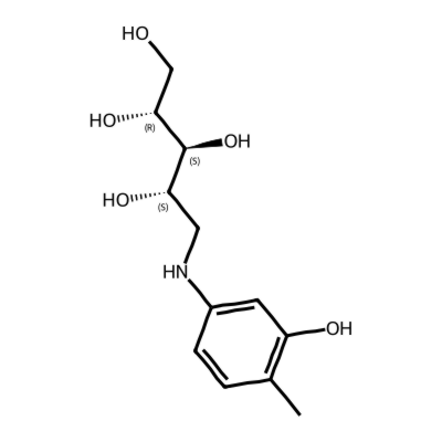 Cc1ccc(NC[C@H](O)[C@H](O)[C@H](O)CO)cc1O